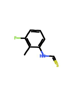 Cc1c(F)cccc1NC=S